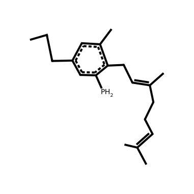 CCCc1cc(C)c(C/C=C(\C)CCC=C(C)C)c(P)c1